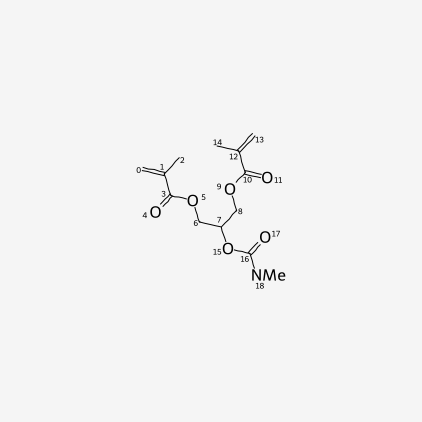 C=C(C)C(=O)OCC(COC(=O)C(=C)C)OC(=O)NC